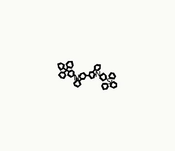 c1ccc(C(c2ccccc2)(c2ccccc2)c2ccc(-n3c4ccccc4c4cc(-c5ccc6c(c5)c5ccccc5n6-c5ccc([Si](c6ccccc6)(c6ccccc6)c6ccccc6)cc5)ccc43)cc2)cc1